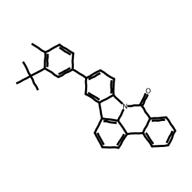 Cc1ccc(-c2ccc3c(c2)c2cccc4c5ccccc5c(=O)n3c42)cc1C(C)(C)C